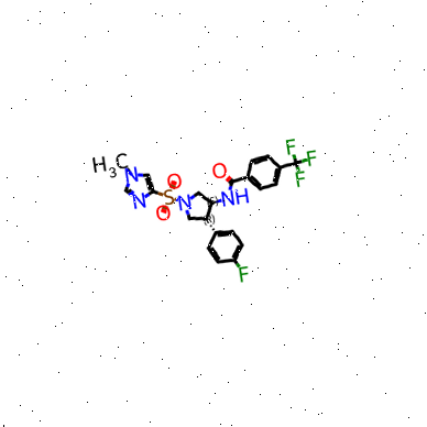 Cn1cnc(S(=O)(=O)N2C[C@@H](NC(=O)c3ccc(C(F)(F)F)cc3)[C@H](c3ccc(F)cc3)C2)c1